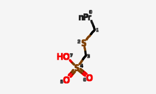 CCCCSCS(=O)(=O)O